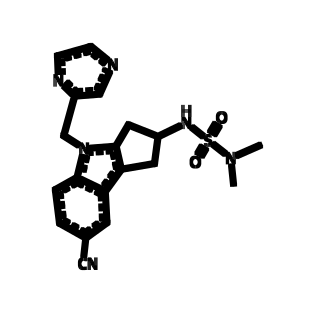 CN(C)S(=O)(=O)NC1Cc2c(n(Cc3cnccn3)c3ccc(C#N)cc23)C1